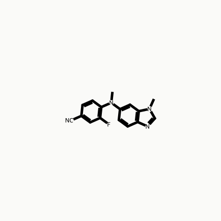 CN(c1ccc2ncn(C)c2c1)c1ccc(C#N)cc1F